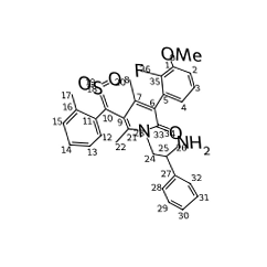 COc1cccc(-c2c(C)c(C(c3ccccc3C)=S(=O)=O)c(C)n(CC(N)c3ccccc3)c2=O)c1F